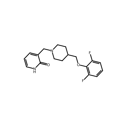 O=c1[nH]cccc1CN1CCC(COc2c(F)cccc2F)CC1